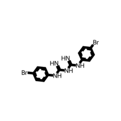 N=C(NC(=N)Nc1ccc(Br)cc1)Nc1ccc(Br)cc1